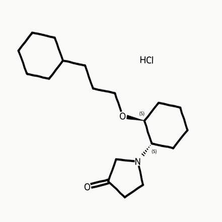 Cl.O=C1CCN([C@H]2CCCC[C@@H]2OCCCC2CCCCC2)C1